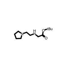 CC(C)(C)OC(=O)CNCCN1CCCC1